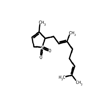 CC(C)=CCC/C(C)=C/CC1C(C)=CCS1(=O)=O